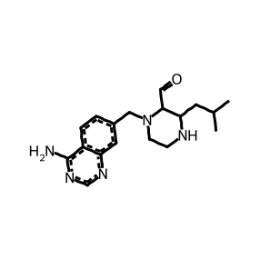 CC(C)CC1NCCN(Cc2ccc3c(N)ncnc3c2)C1C=O